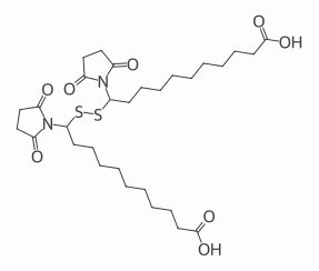 O=C(O)CCCCCCCCCC(SSC(CCCCCCCCCC(=O)O)N1C(=O)CCC1=O)N1C(=O)CCC1=O